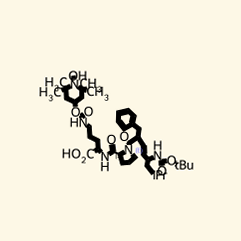 CC(C)CC(/C=C/C(Cc1ccccc1)C(=O)N1CCC[C@H]1C(=O)NC(CCCNC(=O)OC1CC(C)(C)N(O)C(C)(C)C1)C(=O)O)NC(=O)OC(C)(C)C